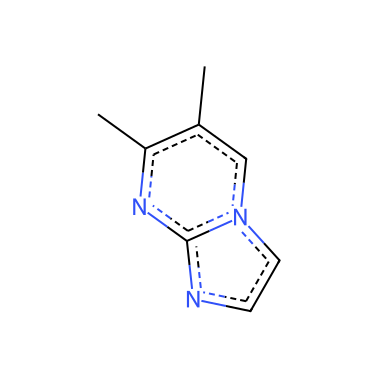 Cc1cn2ccnc2nc1C